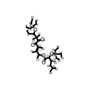 CCC(O[Si](CC)(CC)CC)C(C)(C)C(=O)C(=O)/C(C)=C(\C)C(C)OC(=O)C(O[Si](CC)(CC)CC)[C@@H](C)CC(C)C